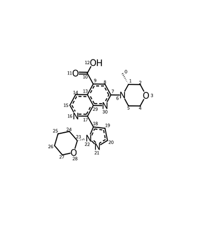 C[C@@H]1COCCN1c1cc(C(=O)O)c2ccnc(-c3ccnn3[C@H]3CCCCO3)c2n1